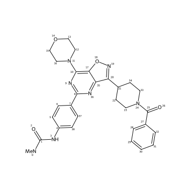 CNC(=O)Nc1ccc(-c2nc(N3CCOCC3)c3onc(C4CCN(C(=O)c5ccccc5)CC4)c3n2)cc1